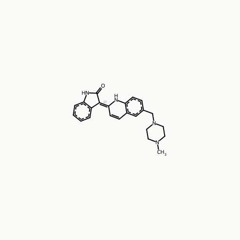 CN1CCN(Cc2ccc3c(c2)C=C/C(=C2/C(=O)Nc4ccccc42)N3)CC1